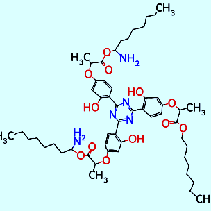 CCCCCCCCOC(=O)C(C)Oc1ccc(-c2nc(-c3ccc(OC(C)C(=O)OC(N)CCCCCCC)cc3O)nc(-c3ccc(OC(C)C(=O)OC(N)CCCCCCC)cc3O)n2)c(O)c1